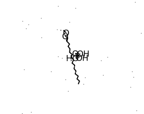 O=P(O)(O)O.[CH2]OOC=CCCCCCCCCCCCCCCCC